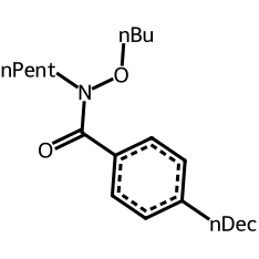 CCCCCCCCCCc1ccc(C(=O)N(CCCCC)OCCCC)cc1